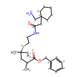 CC(CC(C)(C)SCCNC(=O)CC1(CN)CCCCC1)C(=O)OCc1ccccc1